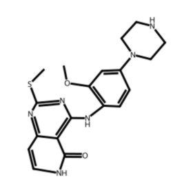 COc1cc(N2CCNCC2)ccc1Nc1nc(SC)nc2cc[nH]c(=O)c12